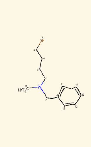 O=C(O)N(CCCCS)Cc1ccccc1